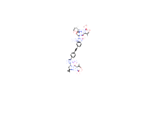 COC(=O)N[C@H](C(=O)N1CC2(CC2)C[C@H]1c1ncc(-c2ccc(C#Cc3ccc4nc([C@@H]5C[C@@]6(CCCCO6)CN5C(=O)[C@@H](NC(=O)OC)C(C)C)[nH]c4c3)cc2)[nH]1)C(C)C